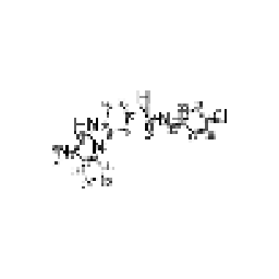 CN(C)c1nc(NC2CCC(NC(=S)NCc3ccc(Cl)cc3)CC2)nc2c1CCCC2